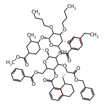 CCCCOC1C(OCCCC)[C@H](OCCCC)C(C)O[C@H]1OC1C(C)CC(C(=O)OC)C[C@H]1O[C@@H]1OC(COC(=O)c2ccccc2)[C@H](OC(=O)c2ccccc2)C(O[C@@H](CC2CCCCC2)C(=O)OCc2ccccc2)C1OC(=O)c1ccccc1